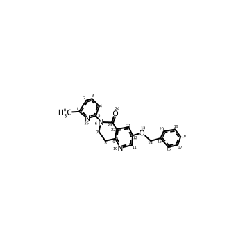 Cc1cccc(N2CCc3ncc(OCc4ccccc4)cc3C2=O)n1